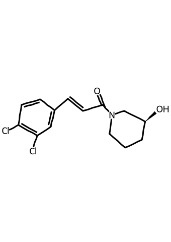 O=C(/C=C/c1ccc(Cl)c(Cl)c1)N1CCC[C@H](O)C1